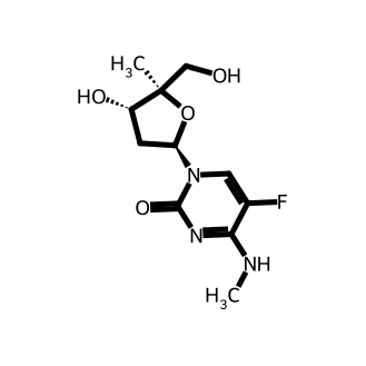 CNc1nc(=O)n([C@H]2C[C@H](O)[C@@](C)(CO)O2)cc1F